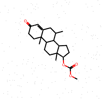 COC(=O)OC1CCC2C3C(C)CC4=CC(=O)CCC4(C)C3CCC12C